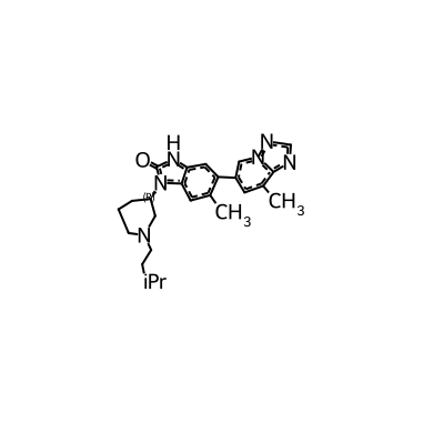 Cc1cc2c(cc1-c1cc(C)c3ncnn3c1)[nH]c(=O)n2[C@@H]1CCCN(CCC(C)C)C1